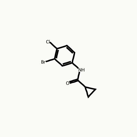 O=C(Nc1ccc(Cl)c(Br)c1)C1CC1